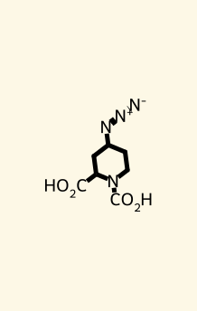 [N-]=[N+]=NC1CCN(C(=O)O)C(C(=O)O)C1